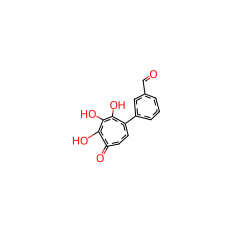 O=Cc1cccc(-c2ccc(=O)c(O)c(O)c2O)c1